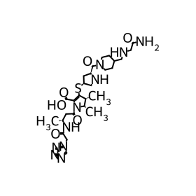 C[C@H](CC(=O)N1C(C(=O)O)=C(S[C@@H]2CN[C@H](C(=O)N3CCC(CNCC(N)=O)CC3)C2)[C@H](C)[C@@H]1C)NC(=O)Cn1cnnn1